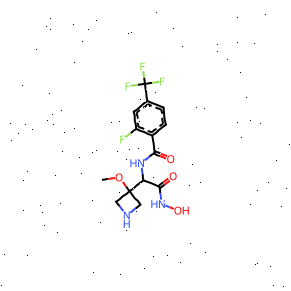 COC1(C(NC(=O)c2ccc(C(F)(F)F)cc2F)C(=O)NO)CNC1